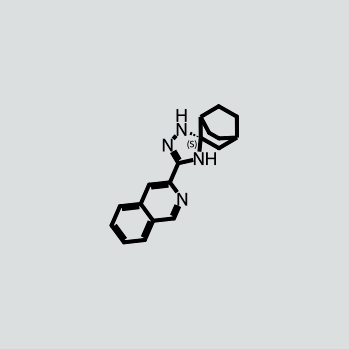 c1ccc2cc(C3=NN[C@]4(CC5CCC4CC5)N3)ncc2c1